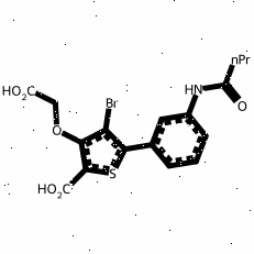 CCCC(=O)Nc1cccc(-c2sc(C(=O)O)c(OCC(=O)O)c2Br)c1